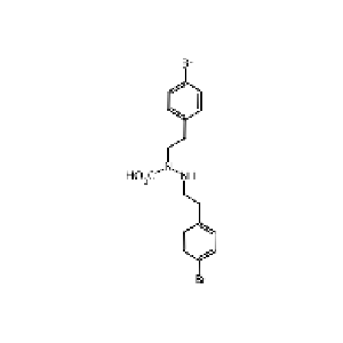 O=C(O)N(CCc1ccc(Br)cc1)NCCc1ccc(Br)cc1